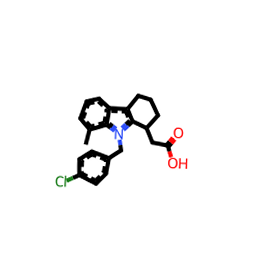 Cc1cccc2c3c(n(Cc4ccc(Cl)cc4)c12)C(CC(=O)O)CCC3